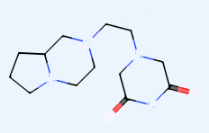 C[C@@H](CN1CCN2CCCC2C1)N1CC(=O)NC(=O)C1